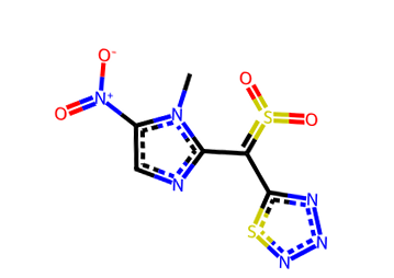 Cn1c([N+](=O)[O-])cnc1C(c1nnns1)=S(=O)=O